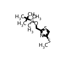 CSc1csc(CO[Si](C)(C)C(C)(C)C)n1